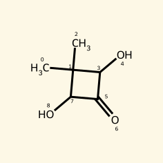 CC1(C)C(O)C(=O)C1O